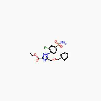 CCOC(=O)c1nc(COCc2ccccc2)n(-c2ccc(S(N)(=O)=O)cc2F)n1